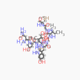 CC[C@H](C)[C@H](NC(=O)CNC(=O)[C@H](Cc1c(S)[nH]c2cc(O)ccc12)NC(=O)[C@@H](NC(=O)[C@@H]1CC(O)CN1C(=O)[C@@H](N)CC(N)=O)[C@@H](C)[C@@H](O)CO)C(=O)NCC(=O)N[C@H]([C]=O)CS